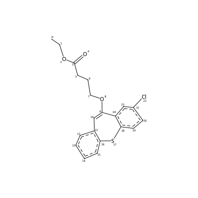 CCOC(=O)CCCOC1=Cc2ccccc2Sc2ccc(Cl)cc21